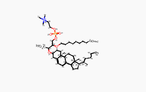 CCCCCCCCCCCCCCCCCCOC(COP(=O)([O-])OCC[N+](C)(C)C)C(OC1CC[C@@]2(C)C(=CCC3C2CC[C@@]2(C)C3CC[C@@H]2[C@H](C)CCCC(C)C)C1)C(=O)O